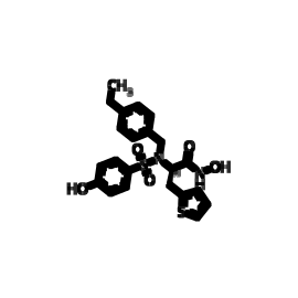 CCc1ccc(CN([C@H](Cc2cccs2)C(=O)NO)S(=O)(=O)c2ccc(O)cc2)cc1